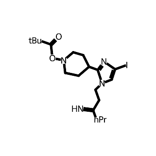 CCCC(=N)CCn1cc(I)nc1C1CCN(OC(=O)C(C)(C)C)CC1